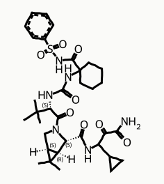 CC(C)(C)[C@H](NC(=O)NC1(C(=O)NS(=O)(=O)c2ccccc2)CCCCC1)C(=O)N1C[C@H]2[C@@H]([C@H]1C(=O)NC(C(=O)C(N)=O)C1CC1)C2(C)C